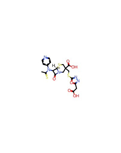 CC(=S)N(c1ccncc1)C1C(=O)N2CC(CSc3nnc(CC(=O)O)o3)(C(=O)O)CS[C@H]12